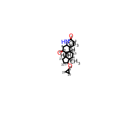 C[C@]12CCC(=O)NC1CC(=O)[C@@H]1[C@H]2CC[C@]2(C)C(OC3CC3)CC[C@@H]12